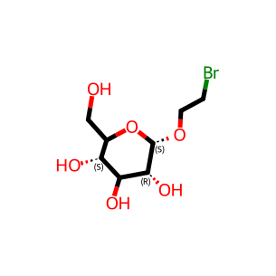 OCC1O[C@H](OCCBr)[C@H](O)C(O)[C@@H]1O